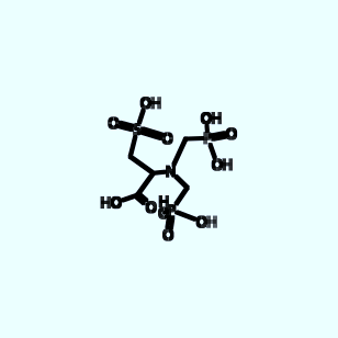 O=C(O)C(CS(=O)(=O)O)N(CP(=O)(O)O)CP(=O)(O)O